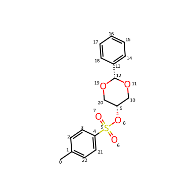 Cc1ccc(S(=O)(=O)O[C@H]2CO[C@@H](c3ccccc3)OC2)cc1